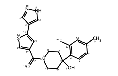 Cc1ccc(C2(O)CCN(C(=O)c3csc(-c4cn[nH]c4)c3)CC2)c(F)c1